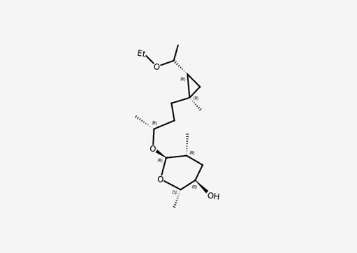 CCOC(C)[C@@H]1C[C@@]1(C)CC[C@@H](C)O[C@@H]1O[C@@H](C)[C@H](O)C[C@H]1C